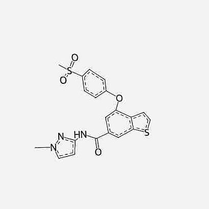 Cn1ccc(NC(=O)c2cc(Oc3ccc(S(C)(=O)=O)cc3)c3ccsc3c2)n1